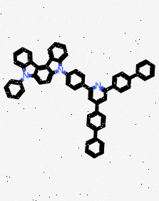 c1ccc(-c2ccc(-c3cc(-c4ccc(-c5ccccc5)cc4)nc(-c4ccc(-n5c6ccccc6c6c7c8ccccc8n(-c8ccccc8)c7ccc65)cc4)c3)cc2)cc1